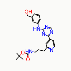 CC(C)(C)OC(=O)NCCCc1cc(-c2ncnc(Nc3cccc(CO)c3)n2)ccn1